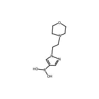 OB(O)c1cnn(CCN2CCOCC2)c1